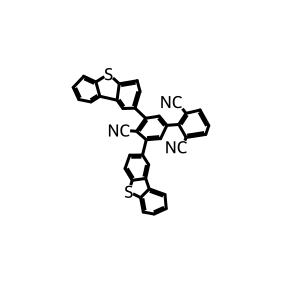 N#Cc1cccc(C#N)c1-c1cc(-c2ccc3sc4ccccc4c3c2)c(C#N)c(-c2ccc3sc4ccccc4c3c2)c1